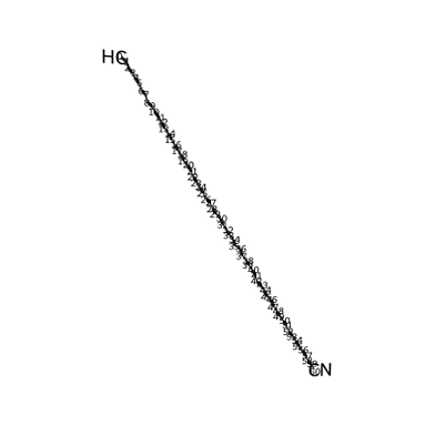 C#CC#CC#CC#CC#CC#CC#CC#CC#CC#CC#CC#CC#CC#CC#CC#CC#CC#CC#CC#CC#CC#CC#CC#CC#CC#CC#CC#CC#CC#CC#N